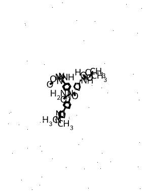 CN(C)c1ccc(-c2ccc(C[C@@H](C(N)=O)N(c3ccc(-c4nnn[nH]4)cc3)C(=O)[C@H]3CC[C@H](CNC(=O)OC(C)(C)C)CC3)cc2)cn1.O=CO